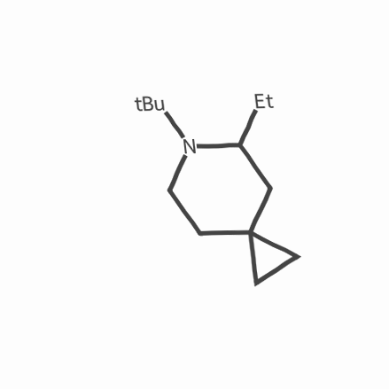 CCC1CC2(CCN1C(C)(C)C)CC2